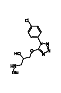 CC(C)(C)NCC(O)COc1nnnn1-c1ccc(Cl)cc1